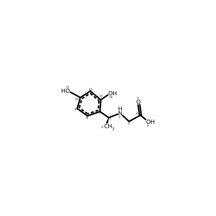 C[C@H](NCC(=O)O)c1ccc(O)cc1O